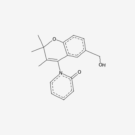 CC1=C(n2ccccc2=O)c2cc(CO)ccc2OC1(C)C